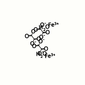 O.O.O=C([O-])C(=O)[O-].O=C([O-])C(=O)[O-].O=C([O-])C(=O)[O-].[Fe+3].[Fe+3]